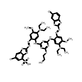 CCN(CC)c1cc(Nc2nc(Nc3cc(N(CC)CC)c(OC)cc3/N=N/c3nc4c(S(=O)(=O)O)cc(Cl)cc4s3)nc(SCCO)n2)c(/N=N/c2nc3ccc(Cl)cc3s2)cc1OC